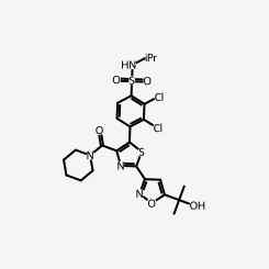 CC(C)NS(=O)(=O)c1ccc(-c2sc(-c3cc(C(C)(C)O)on3)nc2C(=O)N2CCCCC2)c(Cl)c1Cl